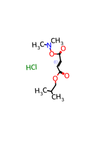 CC(C)COC(=O)/C=C/C(=O)ON(C)C.Cl